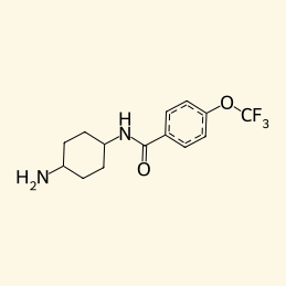 NC1CCC(NC(=O)c2ccc(OC(F)(F)F)cc2)CC1